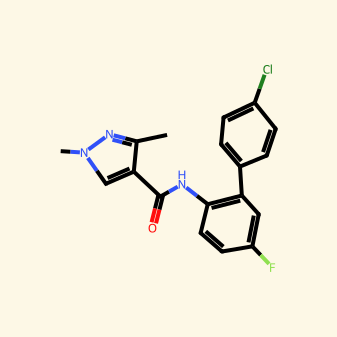 Cc1nn(C)cc1C(=O)Nc1ccc(F)cc1-c1ccc(Cl)cc1